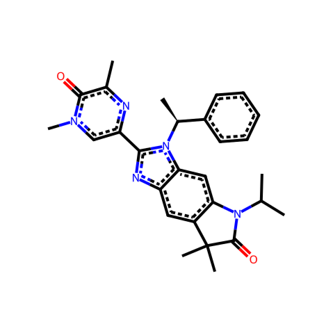 Cc1nc(-c2nc3cc4c(cc3n2[C@@H](C)c2ccccc2)N(C(C)C)C(=O)C4(C)C)cn(C)c1=O